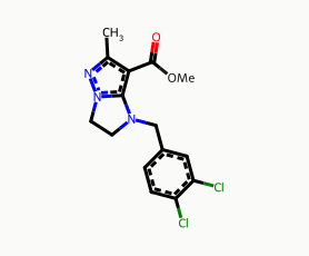 COC(=O)c1c(C)nn2c1N(Cc1ccc(Cl)c(Cl)c1)CC2